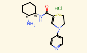 Cl.N[C@@H]1CCCC[C@@H]1NC(=O)C1=CN(c2ccncc2)CCS1